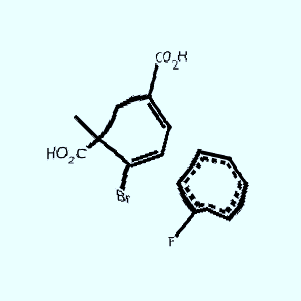 CC1(C(=O)O)CC(C(=O)O)=CC=C1Br.Fc1ccccc1